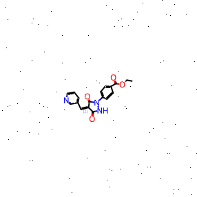 CCOC(=O)c1ccc(N2NC(=O)/C(=C/c3cccnc3)C2=O)cc1